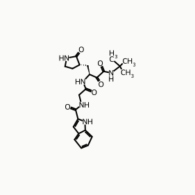 CC(C)(C)NC(=O)C(=O)[C@H](C[C@@H]1CCNC1=O)NC(=O)CNC(=O)c1cc2ccccc2[nH]1